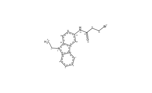 CCn1c2ccccc2c2cc(NC(=O)CCBr)ccc21